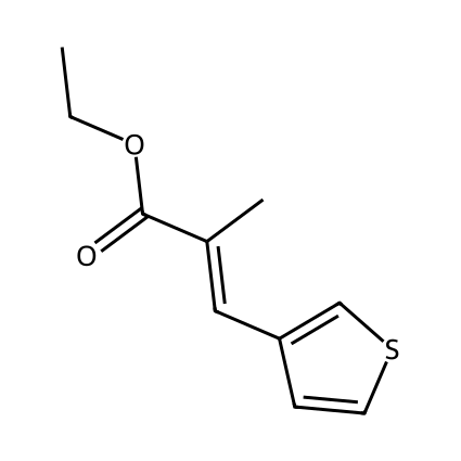 CCOC(=O)/C(C)=C/c1ccsc1